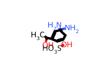 CC(O)C1=CC(N)(N)CC=C1.O=S(=O)(O)O